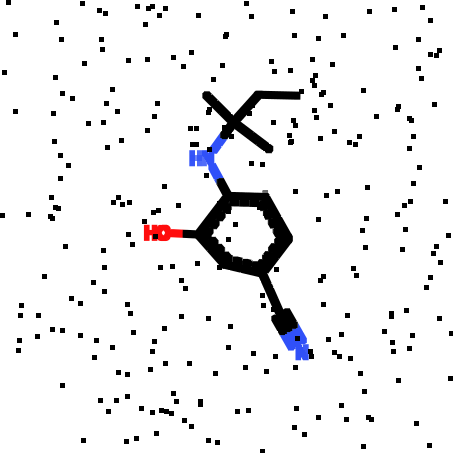 CCC(C)(C)Nc1[c]cc(C#N)cc1O